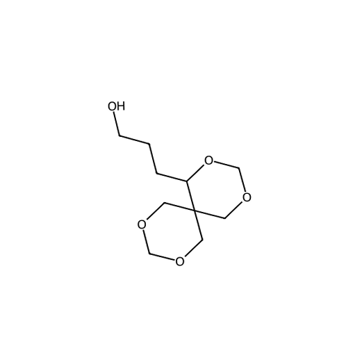 OCCCC1OCOCC12COCOC2